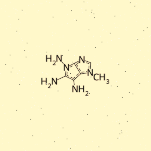 Cn1cnc2c1c(N)c(N)n2N